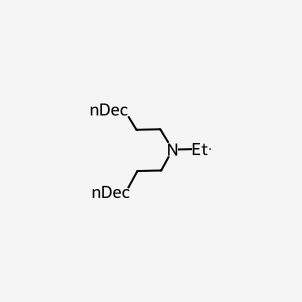 C[CH]N(CCCCCCCCCCCC)CCCCCCCCCCCC